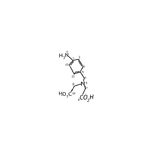 Nc1ccc(CN(CC(=O)O)CC(=O)O)cc1